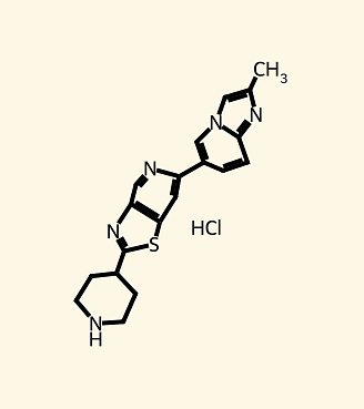 Cc1cn2cc(-c3cc4sc(C5CCNCC5)nc4cn3)ccc2n1.Cl